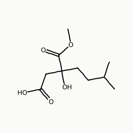 COC(=O)C(O)(CCC(C)C)CC(=O)O